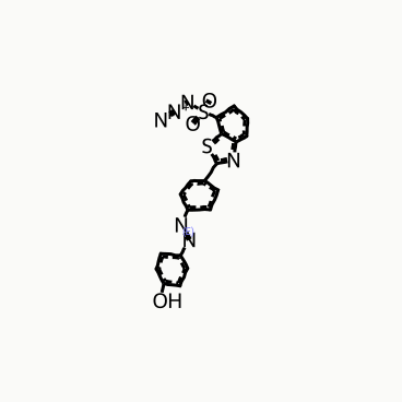 [N-]=[N+]=NS(=O)(=O)c1cccc2nc(-c3ccc(/N=N/c4ccc(O)cc4)cc3)sc12